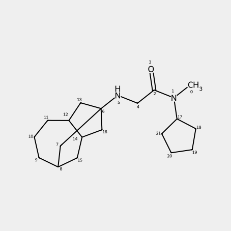 CN(C(=O)CNC12CC3CCCC(C1)C(C3)C2)C1CCCC1